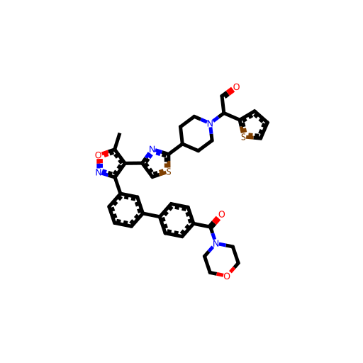 Cc1onc(-c2cccc(-c3ccc(C(=O)N4CCOCC4)cc3)c2)c1-c1csc(C2CCN(C(C=O)c3cccs3)CC2)n1